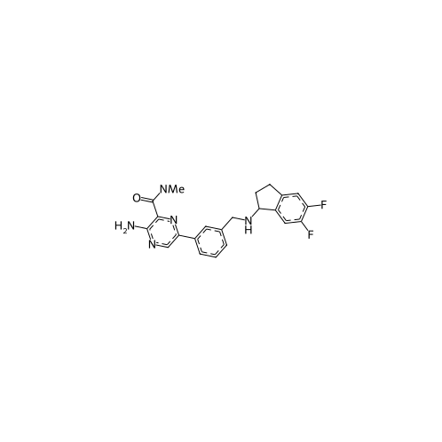 CNC(=O)c1nc(-c2cccc(CNC3CCc4cc(F)c(F)cc43)c2)cnc1N